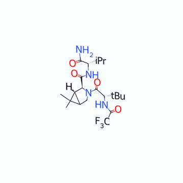 CC(C)[C@H](NC(=O)[C@@H]1[C@@H]2C(CN1C(=O)[C@@H](NC(=O)C(F)(F)F)C(C)(C)C)C2(C)C)C(N)=O